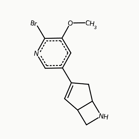 COc1cc(C2=CC3CNC3C2)cnc1Br